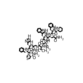 CC(C)[C@H](NC(=O)[C@H](C)NC(=O)[C@H](Cc1c[nH]c2ccccc12)NC(=O)[C@H](CCC(N)=O)NC(=O)[C@@H](Cc1ccccc1)NC(=O)[C@@H]1CCCCN1)C(=O)NCC(=O)N[C@@H](Cc1c[nH]cn1)C(=O)N[C@@H](Cc1ccccc1)C(=O)N1CSC[C@H]1C(N)=O